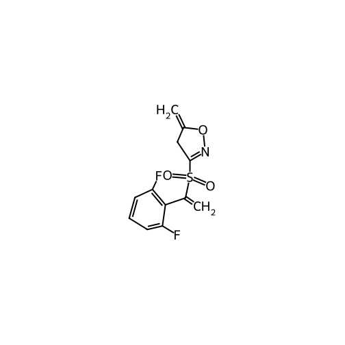 C=C1CC(S(=O)(=O)C(=C)c2c(F)cccc2F)=NO1